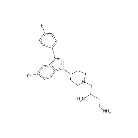 NCCC(N)CN1CCC(c2cn(-c3ccc(F)cc3)c3cc(Cl)ccc23)CC1